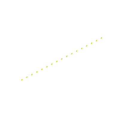 S=S=S=S=S=S=S=S=S=S=S=S=S=S=S=S=S=S=S=S=S=S=S=S=S=S=S=S=S=S=S=S=S=S=S=S